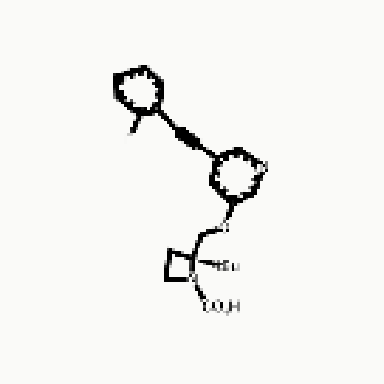 CC(C)(C)[C@]1(COc2cncc(C#Cc3ccccc3F)c2)CCN1C(=O)O